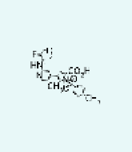 Cc1ccc(S(=O)(=O)n2cc(-c3cc(N[C@@H]4CCOC[C@H]4F)ncc3C)cc2C(=O)O)cc1